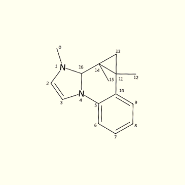 CN1C=CN2c3ccccc3C3(C)CC3(C)C12